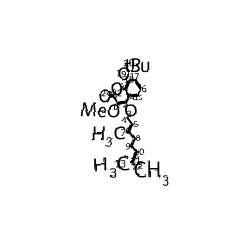 COc1c(OC/C=C(\C)CCC=C(C)C)c2cccc(OC(C)(C)C)c2oc1=O